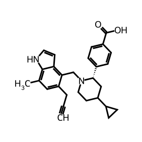 C#CCc1cc(C)c2[nH]ccc2c1CN1CCC(C2CC2)C[C@H]1c1ccc(C(=O)O)cc1